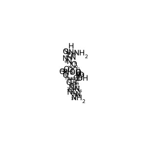 Nc1nc2c(ncn2C2OC3COP(=O)(O)OC4C(CO[PH](=O)OC2C3O)OC(n2cnc3c(N)ncnc32)C4F)c(=O)[nH]1